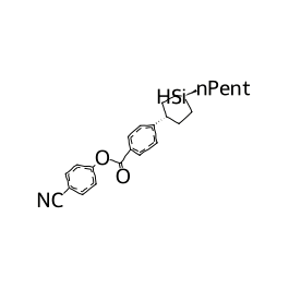 CCCCC[Si@H]1CC[C@H](c2ccc(C(=O)Oc3ccc(C#N)cc3)cc2)CC1